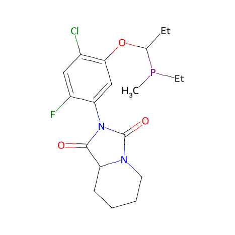 CCC(Oc1cc(N2C(=O)C3CCCCN3C2=O)c(F)cc1Cl)P(C)CC